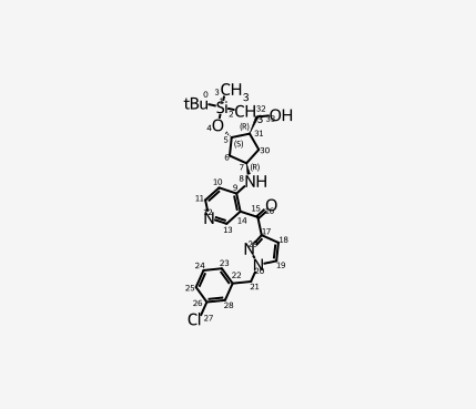 CC(C)(C)[Si](C)(C)O[C@H]1C[C@H](Nc2ccncc2C(=O)c2ccn(Cc3cccc(Cl)c3)n2)C[C@@H]1CO